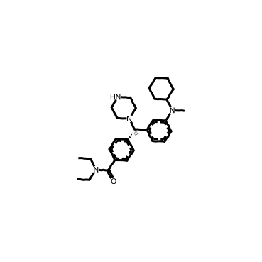 CCN(CC)C(=O)c1ccc([C@@H](c2cccc(N(C)C3CCCCC3)c2)N2CCNCC2)cc1